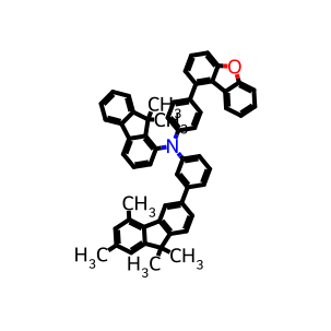 Cc1cc(C)c2c(c1)C(C)(C)c1ccc(-c3cccc(N(c4ccc(-c5cccc6oc7ccccc7c56)cc4)c4cccc5c4C(C)(C)c4ccccc4-5)c3)cc1-2